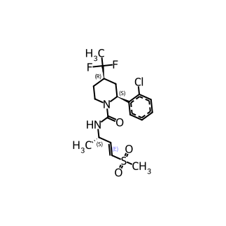 C[C@@H](/C=C/S(C)(=O)=O)NC(=O)N1CC[C@@H](C(C)(F)F)C[C@H]1c1ccccc1Cl